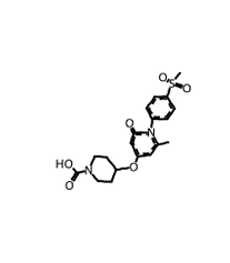 Cc1cc(OC2CCN(C(=O)O)CC2)cc(=O)n1-c1ccc(S(C)(=O)=O)cc1